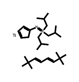 CC(C)(C)C=CC=CC(C)(C)C.CC(C)CP(CC(C)C)(CC(C)C)=NC1=CC=CC1.[Ti]